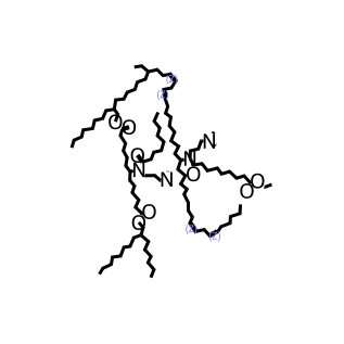 CCCCC/C=C\C/C=C\CCCCCCCCC(CCCCCCCC/C=C\C/C=C\CCC(CC)CCCCCCC(CCCCCCCC)COC(=O)CCCCCC(CCCCCC(=O)OCC(CCCCCC)CCCCCCCC)N(CCCN(C)C)C(=O)CCCCCCCC)N(CCCN(C)C)C(=O)CCCCCCCC(=O)OCC